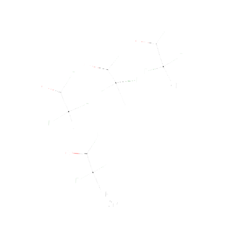 [O-]C(F)C(F)(F)C(F)(F)F.[O-]C(F)C(F)(F)C(F)(F)F.[O-]C(F)C(F)(F)C(F)(F)F.[O-]C(F)C(F)(F)C(F)(F)F.[Zr+4]